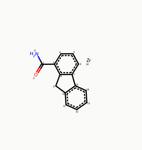 NC(=O)c1cccc2c1Cc1ccccc1-2.[Zr]